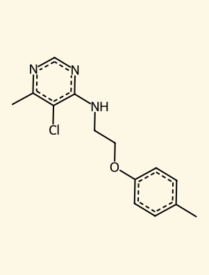 Cc1ccc(OCCNc2ncnc(C)c2Cl)cc1